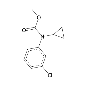 COC(=O)N(c1c[c]cc(Cl)c1)C1CC1